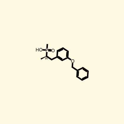 C[C@H](Cc1cccc(OCc2ccccc2)c1)P(C)(=O)O